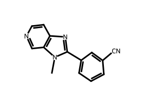 Cn1c(-c2cccc(C#N)c2)nc2ccncc21